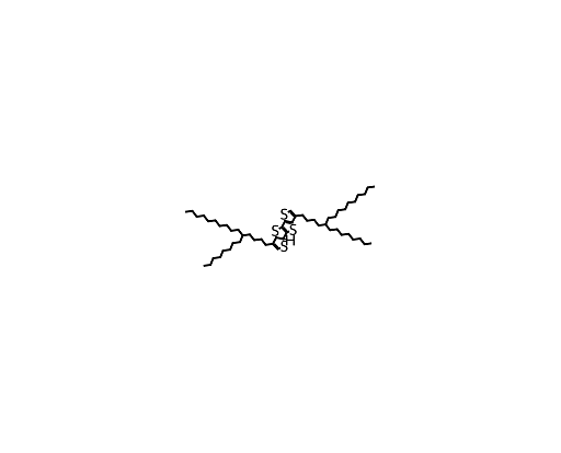 CCCCCCCCCCC(CCCCCCCC)CCCCC1=CS[C@H]2c3sc4c(CCCCC(CCCCCCCC)CCCCCCCCCC)csc4c3SC12